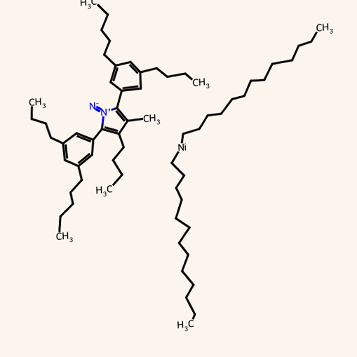 CCCCCCCCCCCC[CH2][Ni][CH2]CCCCCCCCCCCC.CCCCCc1cc(CCCC)cc(C2=C(C)C(CCCC)=C(c3cc(CCCC)cc(CCCCC)c3)[N+]2=[N-])c1